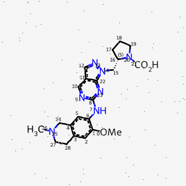 COc1cc2c(cc1Nc1ncc3cnn(C[C@@H]4CCCN4C(=O)O)c3n1)CN(C)CC2